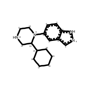 c1cc2[nH]ncc2cc1N1CCNCC1C1CCCCC1